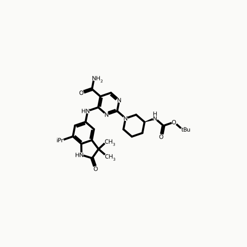 CC(C)c1cc(Nc2nc(N3CCC[C@H](NC(=O)OC(C)(C)C)C3)ncc2C(N)=O)cc2c1NC(=O)C2(C)C